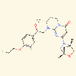 O=C(CN1c2nc(N3C[C@@H]4C[C@H]3CO4)cc(=O)n2CC[C@H]1C(F)(F)F)c1ccc(OCCF)c(F)c1